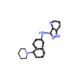 c1cc(N2CCCCC2)c2ccc(Nc3n[nH]c4cccnc34)cc2c1